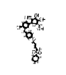 O=S(=O)(NCCCOc1ccc(Cc2cc(C3O[C@H](CO)[C@@H](O)[C@H](O)C3O)ccc2Cl)cc1)C1CCCCC1